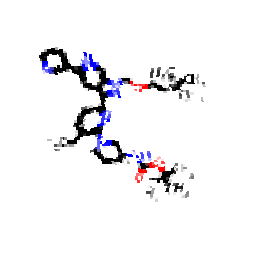 C=Cc1ccc(-c2nn(COCC[Si](C)(C)C)c3cnc(-c4cccnc4)cc23)nc1N1CCC[C@H](NC(=O)OC(C)(C)C)C1